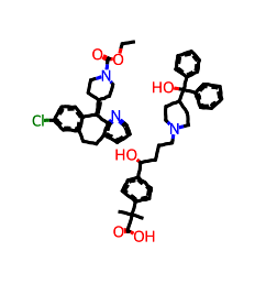 CC(C)(C(=O)O)c1ccc(C(O)CCCN2CCC(C(O)(c3ccccc3)c3ccccc3)CC2)cc1.CCOC(=O)N1CCC(=C2c3ccc(Cl)cc3CCc3cccnc32)CC1